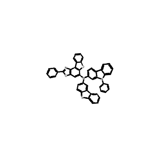 c1ccc(-c2nc3c(cc(N(c4ccc5sc6ccccc6c5c4)c4ccc5c6ccccc6n(-c6ccccc6)c5c4)c4oc5ccccc5c43)o2)cc1